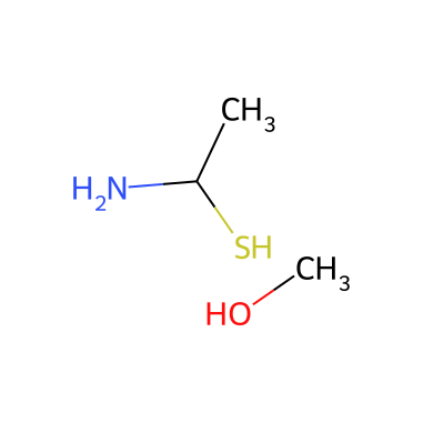 CC(N)S.CO